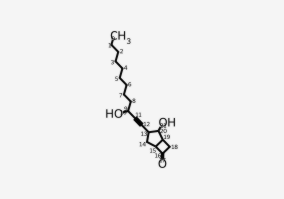 CCCCCCCCCC(O)C#CC1CC2C(=O)CC2C1O